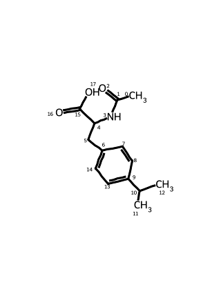 CC(=O)NC(Cc1ccc(C(C)C)cc1)C(=O)O